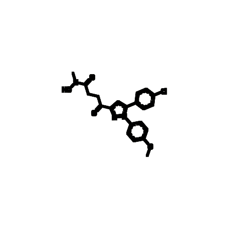 COc1ccc(-n2nc(C(=O)CCC(=O)N(C)O)cc2-c2ccc(Cl)cc2)cc1